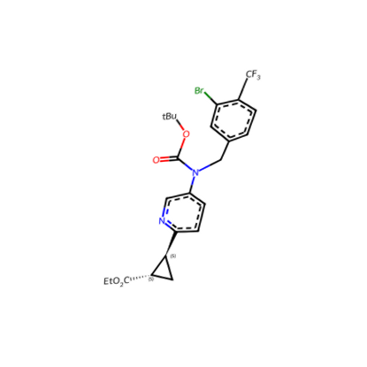 CCOC(=O)[C@H]1C[C@@H]1c1ccc(N(Cc2ccc(C(F)(F)F)c(Br)c2)C(=O)OC(C)(C)C)cn1